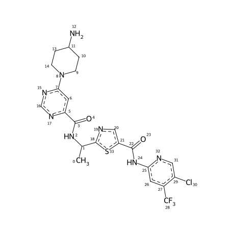 CC(NC(=O)c1cc(N2CCC(N)CC2)ncn1)c1ncc(C(=O)Nc2cc(C(F)(F)F)c(Cl)cn2)s1